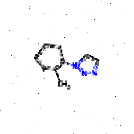 Cc1[c]cccc1-n1ccnn1